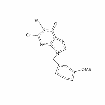 CCn1c(Cl)nc2c(ncn2Cc2cccc(OC)c2)c1=O